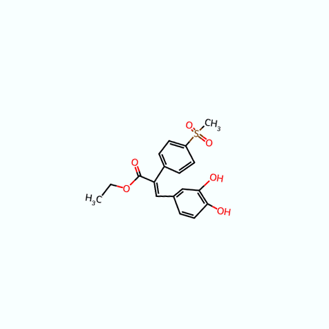 CCOC(=O)/C(=C/c1ccc(O)c(O)c1)c1ccc(S(C)(=O)=O)cc1